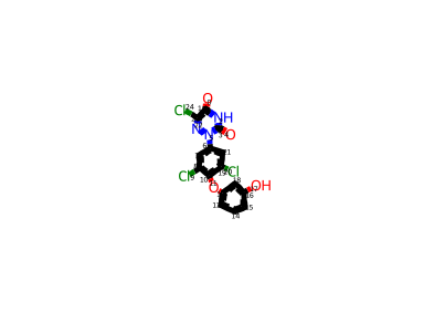 O=c1[nH]c(=O)n(-c2cc(Cl)c(Oc3cccc(O)c3)c(Cl)c2)nc1Cl